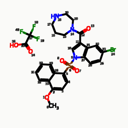 COc1ccc(S(=O)(=O)n2cc(C(=O)N3CCCNCC3)c3cc(Br)ccc32)c2ccccc12.O=C(O)C(F)(F)F